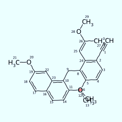 C#Cc1ccc(OC)c(Cc2c(OC)ccc3ccc(OC)cc23)c1/C=C(\C)OC